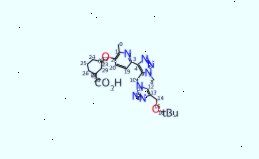 Cc1nc(-c2nnn(C)c2Cn2cc(COC(C)(C)C)nn2)ccc1O[C@H]1CCC[C@H](C(=O)O)C1